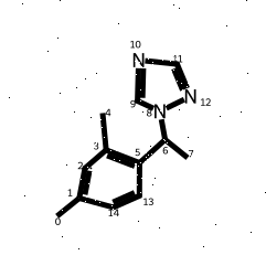 Cc1[c]c(C)c(C(C)n2cncn2)cc1